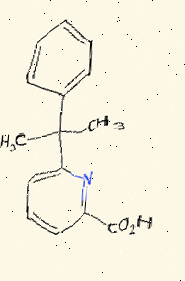 CC(C)(c1ccccc1)c1cccc(C(=O)O)n1